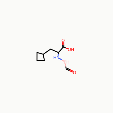 O=CBNC(CC1CCC1)C(=O)O